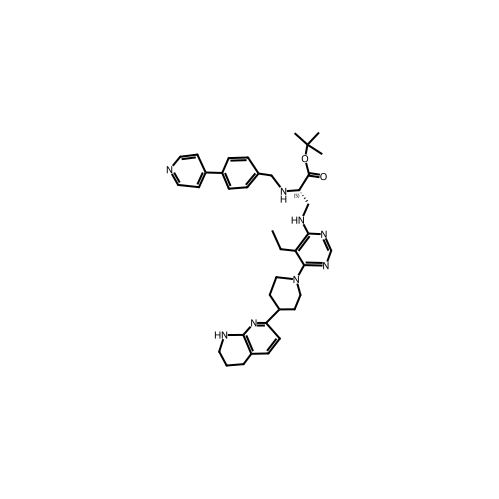 CCc1c(NC[C@H](NCc2ccc(-c3ccncc3)cc2)C(=O)OC(C)(C)C)ncnc1N1CCC(c2ccc3c(n2)NCCC3)CC1